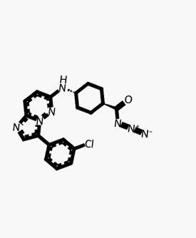 [N-]=[N+]=NC(=O)[C@H]1CC[C@H](Nc2ccc3ncc(-c4cccc(Cl)c4)n3n2)CC1